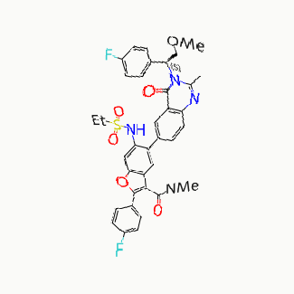 CCS(=O)(=O)Nc1cc2oc(-c3ccc(F)cc3)c(C(=O)NC)c2cc1-c1ccc2nc(C)n([C@H](COC)c3ccc(F)cc3)c(=O)c2c1